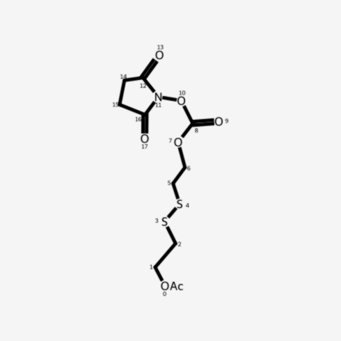 CC(=O)OCCSSCCOC(=O)ON1C(=O)CCC1=O